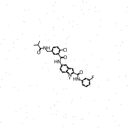 CC(C)C(=O)NCc1ccc(Cl)c(C(=O)Nc2ccc3c(c2)cc(C(=O)Nc2cccc(F)c2)n3C)c1